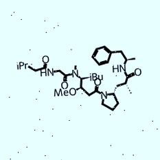 CC[C@H](C)[C@@H]([C@@H](CC(=O)N1CCC[C@H]1C[C@@H](C)C(=O)N[C@H](C)Cc1ccccc1)OC)N(C)C(=O)CNC(=O)CC(C)C